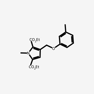 CCOC(=O)c1cc(COc2cccc(C)c2)c(C(=O)OCC)n1C